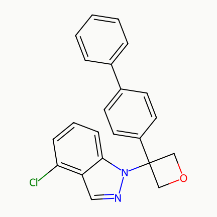 Clc1cccc2c1cnn2C1(c2ccc(-c3ccccc3)cc2)COC1